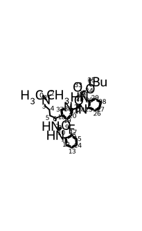 CN(C)CCCC(NC(=O)Nc1ccccc1F)c1ccc(C(=O)Nc2ccccc2NC(=O)OC(C)(C)C)nc1